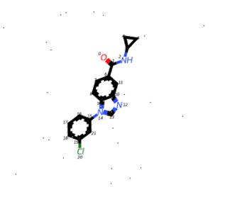 O=C(NC1CC1)c1ccc2c(c1)ncn2-c1cccc(Cl)c1